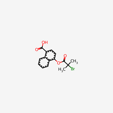 CC(C)(Br)C(=O)Oc1ccc(C(=O)O)c2ccccc12